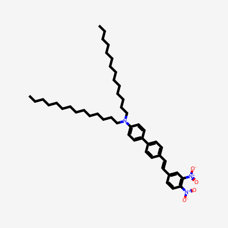 CCCCCCCCCCCCCCN(CCCCCCCCCCCCCC)c1ccc(-c2ccc(C=Cc3ccc([N+](=O)[O-])c([N+](=O)[O-])c3)cc2)cc1